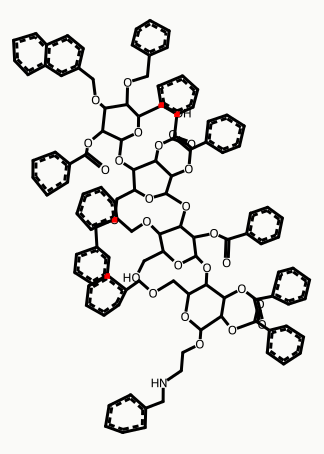 O=C(OC1C(OC2C(COCc3ccccc3)OC(OC3C(OCc4ccccc4)C(CO)OC(OC4C(COCc5ccccc5)OC(OCCNCc5ccccc5)C(OC(=O)c5ccccc5)C4OC(=O)c4ccccc4)C3OC(=O)c3ccccc3)C(OC(=O)c3ccccc3)C2OC(=O)c2ccccc2)OC(CO)C(OCc2ccccc2)C1OCc1ccc2ccccc2c1)c1ccccc1